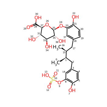 C[C@H](Cc1ccc(O)c(OS(=O)(=O)O)c1)[C@@H](C)Cc1ccc(O)c(O[C@@H]2O[C@H](C(=O)O)[C@@H](O)[C@H](O)[C@H]2O)c1